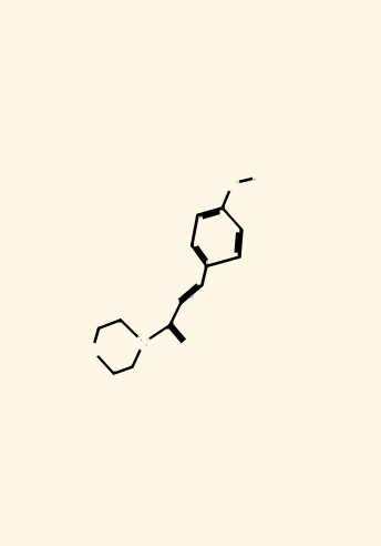 CCCCCOc1ccc(/C=C/C(=O)N2CCSCC2)cc1